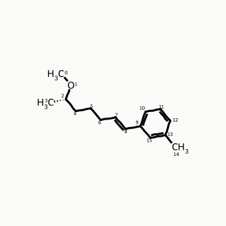 CO[C@@H](C)CCC/C=C/c1cccc(C)c1